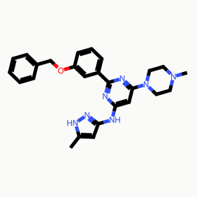 Cc1cc(Nc2cc(N3CCN(C)CC3)nc(-c3cccc(OCc4ccccc4)c3)n2)n[nH]1